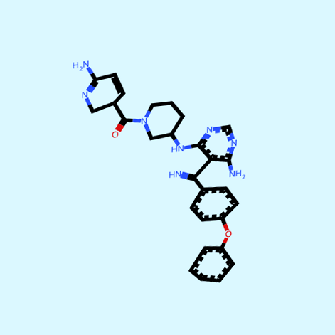 N=C(c1ccc(Oc2ccccc2)cc1)c1c(N)ncnc1NC1CCCN(C(=O)C2C=CC(N)=NC2)C1